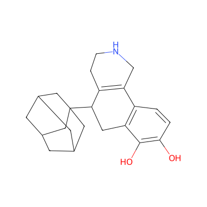 Oc1ccc2c(c1O)CC(C13CC4CC(CC(C4)C1)C3)C1=C2CNCC1